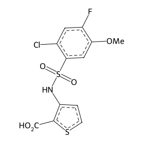 COc1cc(S(=O)(=O)Nc2ccsc2C(=O)O)c(Cl)cc1F